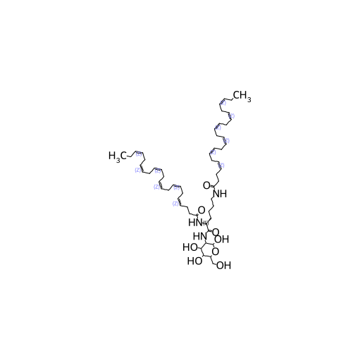 CC/C=C\C/C=C\C/C=C\C/C=C\C/C=C\C/C=C\CCC(=O)NCCCC[C@H](NC(=O)CC/C=C\C/C=C\C/C=C\C/C=C\C/C=C\C/C=C\CC)C(=O)NC1C(O)OC(CO)C(O)C1O